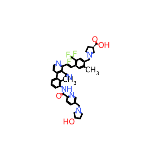 Cc1cc(/C=C/c2nccc(-c3cccc(NC(=O)c4ccc(CN5CC[C@@H](O)C5)cn4)c3C)c2C#N)c(C(F)(F)F)cc1CN1CC[C@@H](C(=O)O)C1